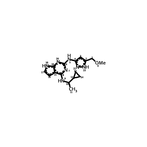 COCc1cc(Nc2nc(NC(C)C3CC3)c3cc[nH]c3n2)n[nH]1